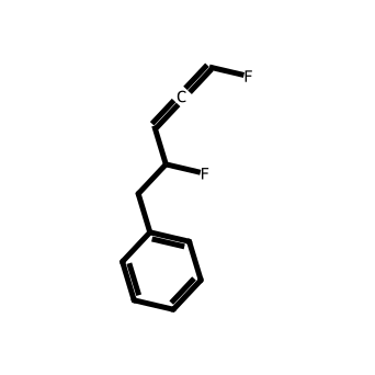 FC=C=CC(F)Cc1ccccc1